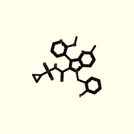 COc1ncccc1-c1c(C(=O)NS(=O)(=O)C2CC2)n(Cc2ccccc2F)c2ccc(C)nc12